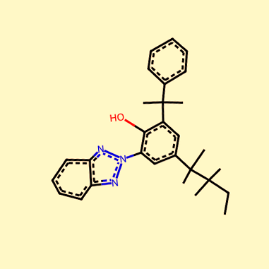 CCC(C)(C)C(C)(C)c1cc(-n2nc3ccccc3n2)c(O)c(C(C)(C)c2ccccc2)c1